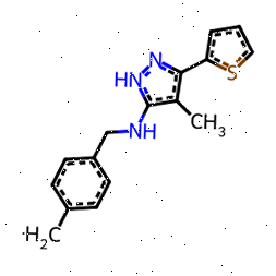 [CH2]c1ccc(CNc2[nH]nc(-c3cccs3)c2C)cc1